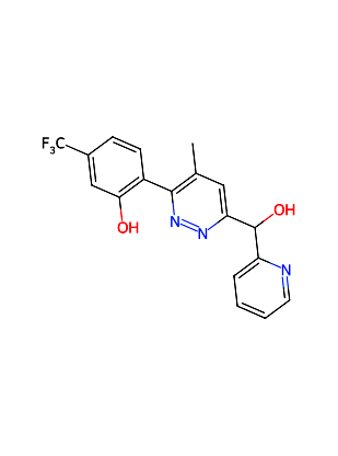 Cc1cc(C(O)c2ccccn2)nnc1-c1ccc(C(F)(F)F)cc1O